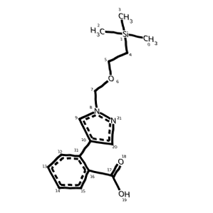 C[Si](C)(C)CCOCn1cc(-c2ccccc2C(=O)O)cn1